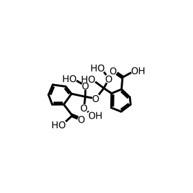 O=C(O)c1ccccc1C(O)(OO)OC(OO)(OO)c1ccccc1C(=O)O